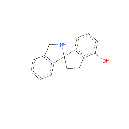 Oc1cccc2c1CCC21NCc2ccccc21